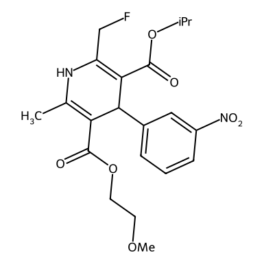 COCCOC(=O)C1=C(C)NC(CF)=C(C(=O)OC(C)C)C1c1cccc([N+](=O)[O-])c1